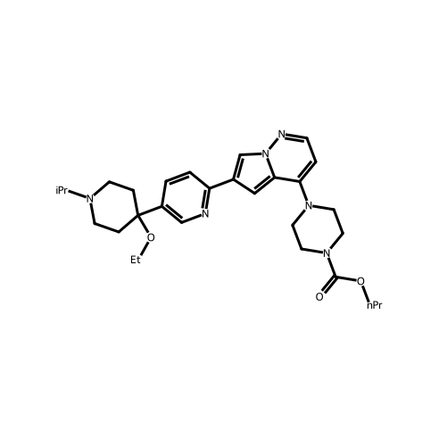 CCCOC(=O)N1CCN(c2ccnn3cc(-c4ccc(C5(OCC)CCN(C(C)C)CC5)cn4)cc23)CC1